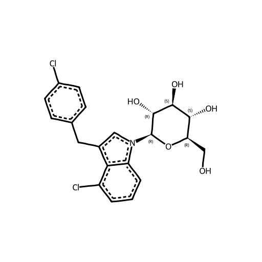 OC[C@H]1O[C@@H](n2cc(Cc3ccc(Cl)cc3)c3c(Cl)cccc32)[C@H](O)[C@@H](O)[C@@H]1O